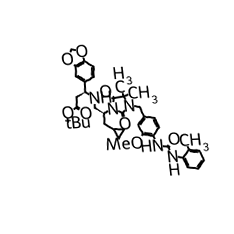 COc1cc(CN2C(=O)N([C@H](CN[C@@H](CC(=O)OC(C)(C)C)c3ccc4c(c3)OCO4)CC3CC3)C(=O)C2(C)C)ccc1NC(=O)Nc1ccccc1C